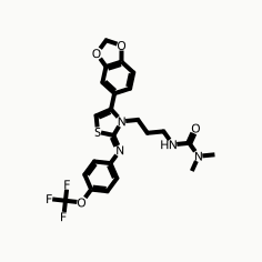 CN(C)C(=O)NCCCn1c(-c2ccc3c(c2)OCO3)cs/c1=N\c1ccc(OC(F)(F)F)cc1